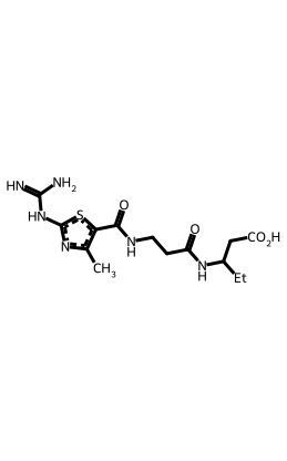 CCC(CC(=O)O)NC(=O)CCNC(=O)c1sc(NC(=N)N)nc1C